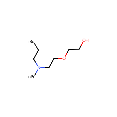 CCCN(CCOCCO)CCC(C)CC